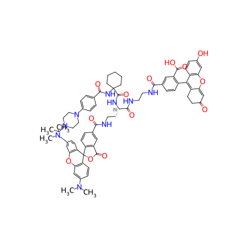 CCN1CCN(c2ccc(C(=O)NC3(C(=O)N[C@@H](CCNC(=O)c4ccc5c(c4)C(=O)OC54c5ccc(N(C)C)cc5Oc5cc(N(C)C)ccc54)C(=O)NCCNC(=O)c4ccc(C5=C6CCC(=O)C=C6Oc6cc(O)ccc65)c(C(=O)O)c4)CCCCC3)cc2)CC1